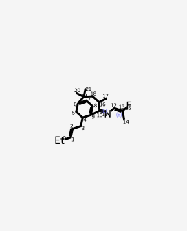 CCC=CCC1CC2=CC=C1/C(=N/C=C(\C)F)C(C)CC2(C)C